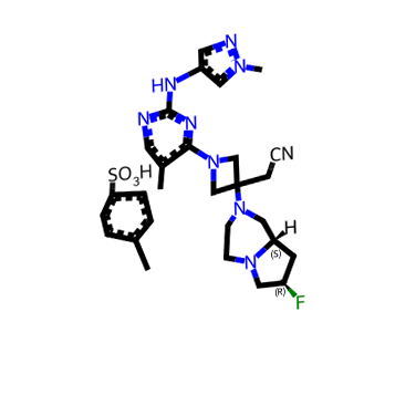 Cc1ccc(S(=O)(=O)O)cc1.Cc1cnc(Nc2cnn(C)c2)nc1N1CC(CC#N)(N2CCN3C[C@H](F)C[C@H]3C2)C1